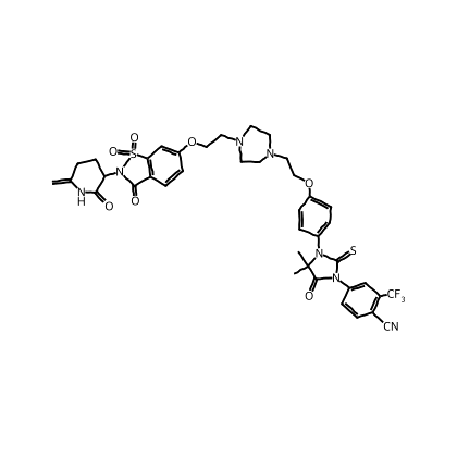 C=C1CCC(N2C(=O)c3ccc(OCCN4CCN(CCOc5ccc(N6C(=S)N(c7ccc(C#N)c(C(F)(F)F)c7)C(=O)C6(C)C)cc5)CC4)cc3S2(=O)=O)C(=O)N1